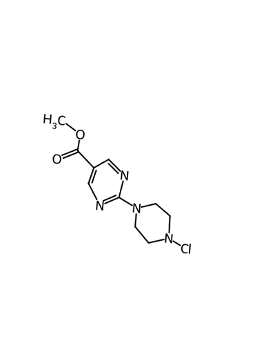 COC(=O)c1cnc(N2CCN(Cl)CC2)nc1